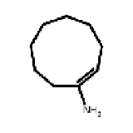 NC1=CCCCCCCC1